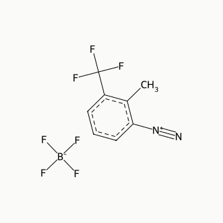 Cc1c([N+]#N)cccc1C(F)(F)F.F[B-](F)(F)F